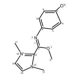 CO/C(=N\c1ccc(Cl)cc1)c1n(C)cc[n+]1C